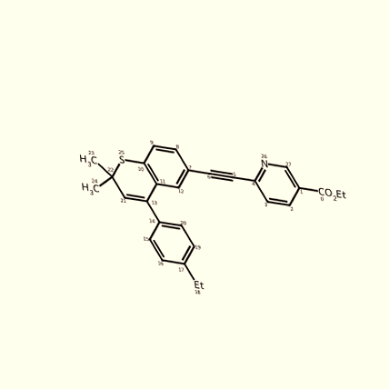 CCOC(=O)c1ccc(C#Cc2ccc3c(c2)C(c2ccc(CC)cc2)=CC(C)(C)S3)nc1